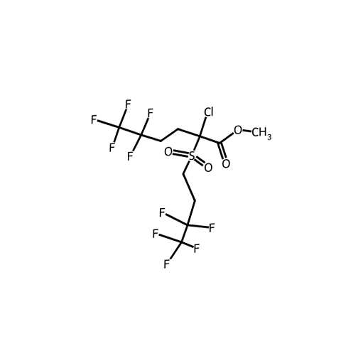 COC(=O)C(Cl)(CCC(F)(F)C(F)(F)F)S(=O)(=O)CCC(F)(F)C(F)(F)F